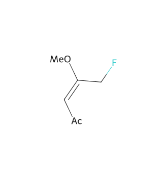 CO/C(=C/C(C)=O)CF